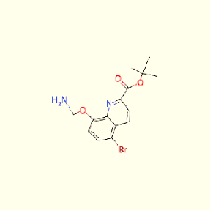 CC(C)(C)OC(=O)c1ccc2c(Br)ccc(OCN)c2n1